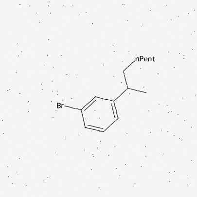 CCCCCCC(C)c1cccc(Br)c1